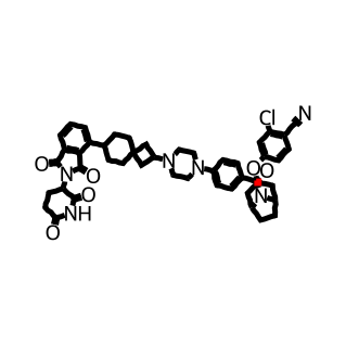 N#Cc1ccc(OC2CC3CCC(C2)N3C(=O)c2ccc(N3CCN(C4CC5(CCC(c6cccc7c6C(=O)N(C6CCC(=O)NC6=O)C7=O)CC5)C4)CC3)cc2)cc1Cl